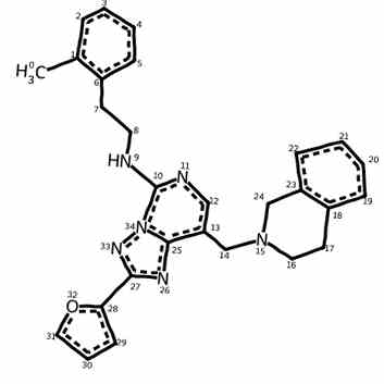 Cc1ccccc1CCNc1ncc(CN2CCc3ccccc3C2)c2nc(-c3ccco3)nn12